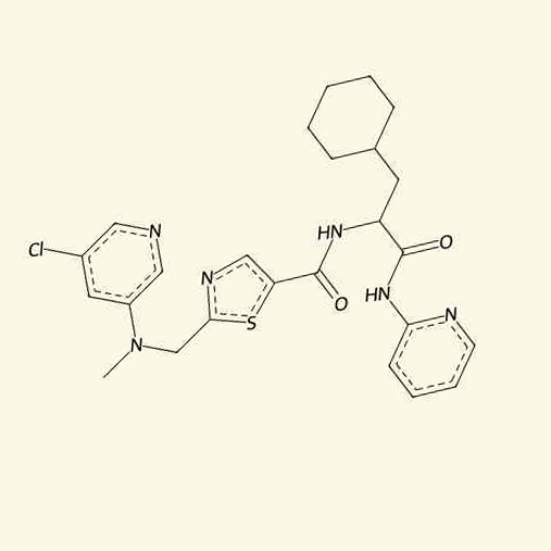 CN(Cc1ncc(C(=O)NC(CC2CCCCC2)C(=O)Nc2ccccn2)s1)c1cncc(Cl)c1